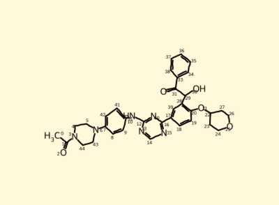 CC(=O)N1CCN(c2ccc(Nc3ncnc(-c4ccc(OC5CCOCC5)c(C(O)C(=O)c5ccccc5)c4)n3)cc2)CC1